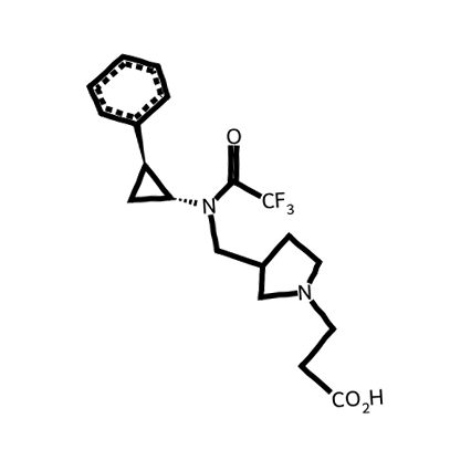 O=C(O)CCN1CCC(CN(C(=O)C(F)(F)F)[C@@H]2C[C@H]2c2ccccc2)C1